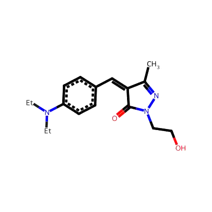 CCN(CC)c1ccc(/C=C2\C(=O)N(CCO)N=C2C)cc1